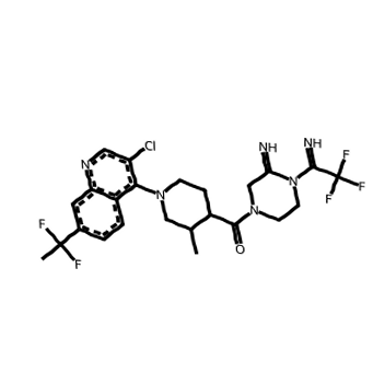 CC1CN(c2c(Cl)cnc3cc(C(C)(F)F)ccc23)CCC1C(=O)N1CCN(C(=N)C(F)(F)F)C(=N)C1